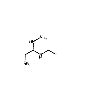 CCCCCC(NN)NCI